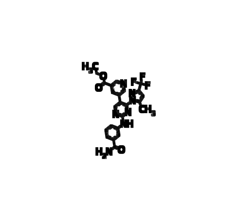 CCOC(=O)c1cncc(-c2cnc(Nc3cccc(C(N)=O)c3)nc2-n2nc(C(F)(F)F)cc2C)c1